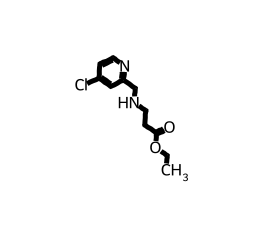 CCOC(=O)CCNCc1cc(Cl)ccn1